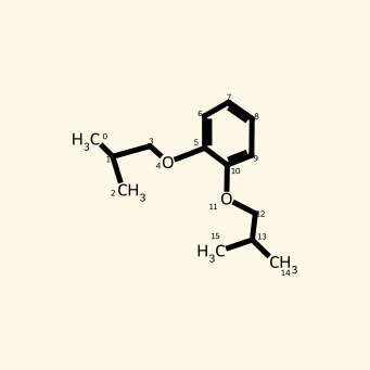 CC(C)COc1c[c]ccc1OCC(C)C